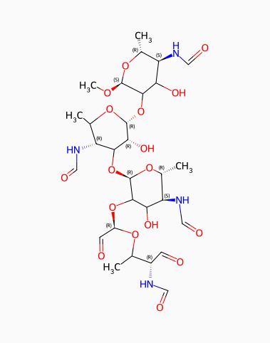 CO[C@H]1O[C@H](C)[C@@H](NC=O)C(O)C1O[C@H]1OC(C)[C@@H](NC=O)C(O[C@H]2O[C@H](C)[C@@H](NC=O)C(O)C2O[C@H](C=O)OC(C)[C@H](C=O)NC=O)[C@H]1O